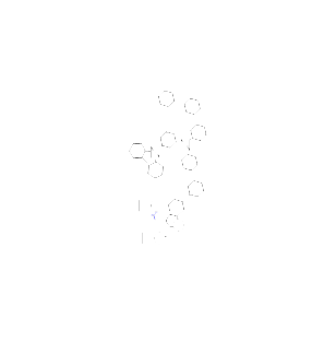 C=Cc1oc2cc(-c3cccc(-c4ccc(N(c5cccc(-c6cccc(-c7ccccc7)c6)c5)c5cccc(-n6c7ccccc7c7ccccc76)c5)cc4)c3)ccc2c1/C=C\C